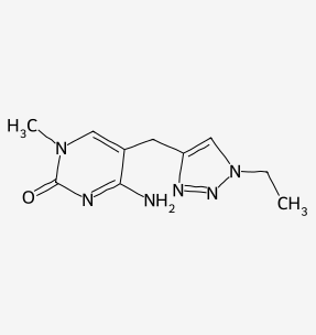 CCn1cc(Cc2cn(C)c(=O)nc2N)nn1